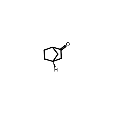 O=C1C[C@@H]2CCC1C2